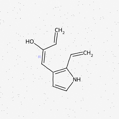 C=C/C(O)=C\c1cc[nH]c1C=C